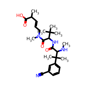 CNC(C(=O)NC(C(=O)N(C)CC=CC(C)C(=O)O)C(C)(C)C)C(C)(C)c1cccc(C#N)c1